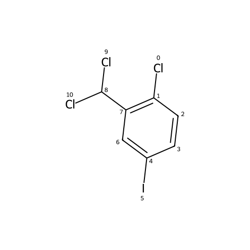 Clc1ccc(I)cc1C(Cl)Cl